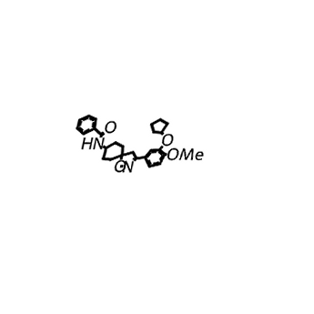 COc1ccc(C2=NOC3(CCC(NC(=O)c4ccccc4)CC3)C2)cc1OC1CCCC1